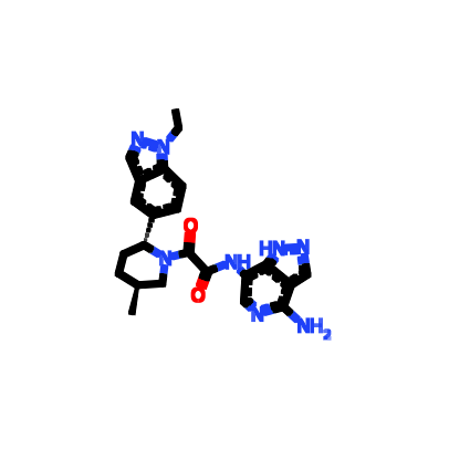 CCn1ncc2cc([C@H]3CC[C@H](C)CN3C(=O)C(=O)Nc3cnc(N)c4cn[nH]c34)ccc21